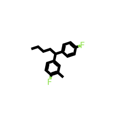 CCCCC(c1ccc(F)cc1)c1ccc(F)c(C)c1